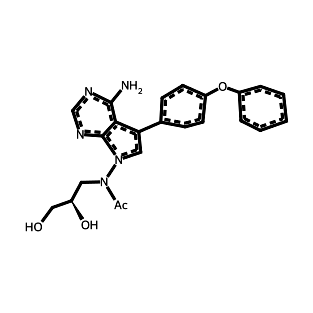 CC(=O)N(C[C@@H](O)CO)n1cc(-c2ccc(Oc3ccccc3)cc2)c2c(N)ncnc21